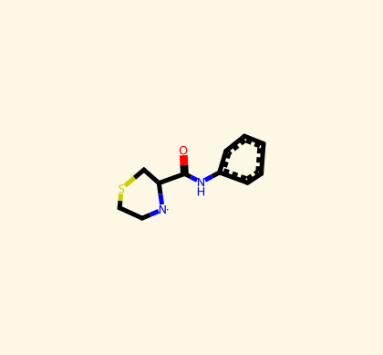 O=C(Nc1ccccc1)C1CSCC[N]1